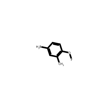 Bc1ccc(OF)c(C)c1